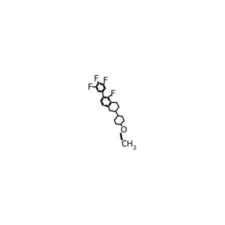 C=C=COC1CCC(C2CCc3c(ccc(-c4cc(F)c(F)c(F)c4)c3F)C2)CC1